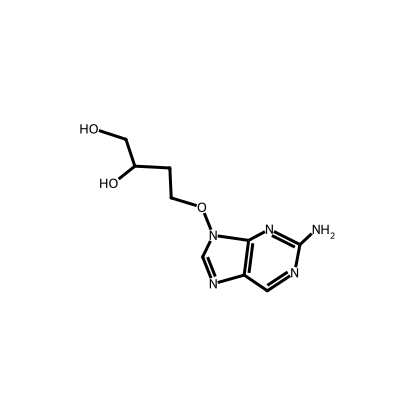 Nc1ncc2ncn(OCCC(O)CO)c2n1